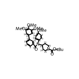 COc1ccc(N(C(=O)c2cccc(-c3cc(OC)c(OC)c(OC)c3)c2)C2CCN(C(=O)OC(C)(C)C)CC2)cc1